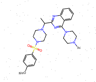 COc1ccc(S(=O)(=O)N2CCN(C(C)c3nc(N4CCN(C(C)=O)CC4)c4ccccc4n3)CC2)cc1